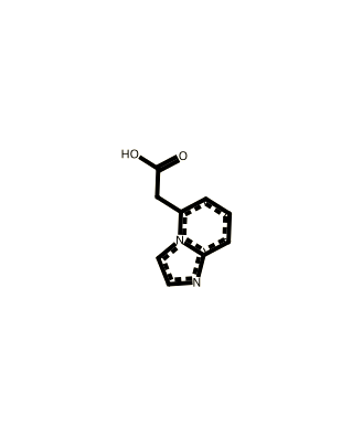 O=C(O)Cc1cccc2nccn12